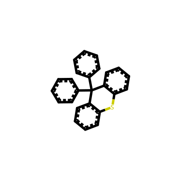 c1ccc(C2(c3ccccc3)c3ccccc3Sc3ccccc32)cc1